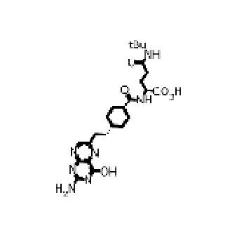 CC(C)(C)NC(=O)CC[C@H](NC(=O)[C@H]1CC[C@H](CCc2cnc3nc(N)nc(O)c3n2)CC1)C(=O)O